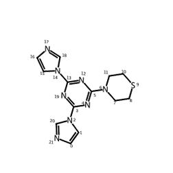 c1cn(-c2nc(N3CCSCC3)nc(-n3ccnc3)n2)cn1